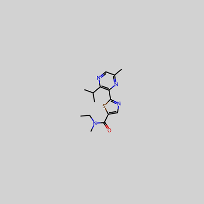 CCN(C)C(=O)c1cnc(-c2nc(C)cnc2C(C)C)s1